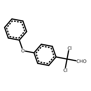 O=CC(Cl)(Cl)c1ccc(Oc2ccccc2)cc1